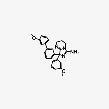 COc1cccc(-c2cccc(C3(c4cccc(OC)c4)N=C(N)N4CCCN=C43)c2)c1